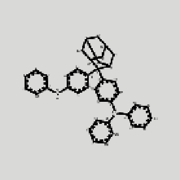 c1ccc(Nc2ccc(C3(c4ccc(N(c5ccccc5)c5ccccc5)cc4)C4CC5CC(C4)CC3C5)cc2)cc1